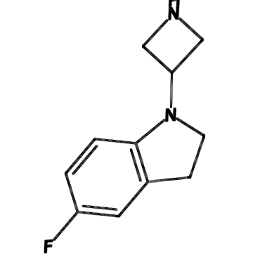 Fc1ccc2c(c1)CCN2C1CNC1